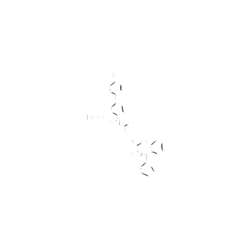 O=C(COCC(=O)NC(c1ccccc1)c1ccccc1)Nc1ccc(-c2ccc(F)cc2)cc1C(=O)O